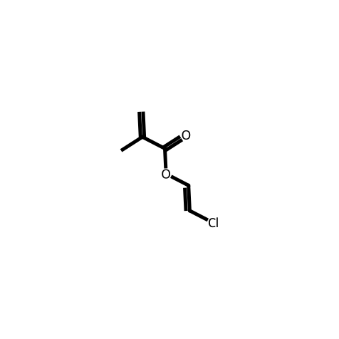 C=C(C)C(=O)OC=CCl